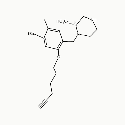 C#CCCCCOc1cc(C(C)(C)C)c(C)cc1CN1CCNC[C@H]1C(=O)O